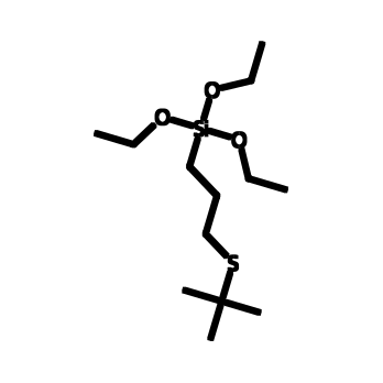 CCO[Si](CCCSC(C)(C)C)(OCC)OCC